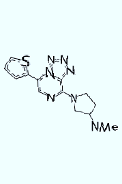 CNC1CCN(c2ncc(-c3cccs3)n3nnnc23)C1